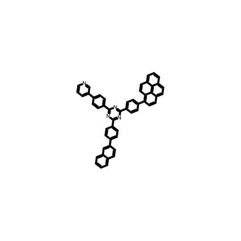 c1cncc(-c2ccc(-c3nc(-c4ccc(-c5ccc6ccccc6c5)cc4)nc(-c4ccc(-c5ccc6ccc7cccc8ccc5c6c78)cc4)n3)cc2)c1